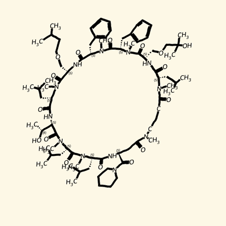 CC(C)CCOC[C@@H]1NC(=O)[C@H](Cc2ccccc2)N(C)C(=O)[C@H](Cc2ccccc2)N(C)C(=O)[C@H](COCC(C)(C)O)NC(=O)[C@H](CC(C)C)N(C)C(=O)CCCN(C)C(=O)C[C@@H](C(=O)N2CCCCC2)NC(=O)[C@H](CC(C)C)N(C)C(=O)[C@H](CC(C)C)N(C)C(=O)[C@H]([C@@H](C)O)NC(=O)[C@H](CC(C)C)N(C)C1=O